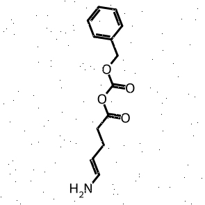 NC=CCCC(=O)OC(=O)OCc1ccccc1